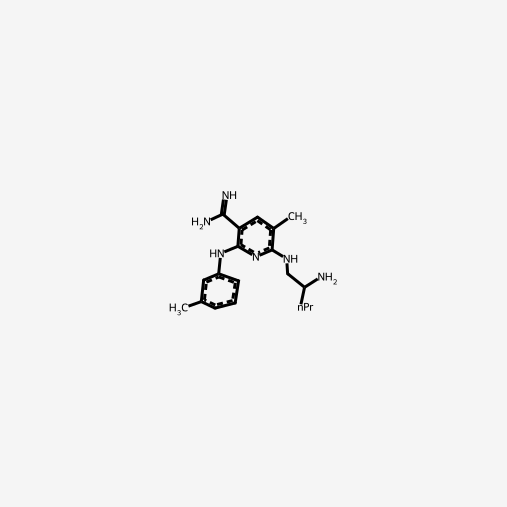 CCCC(N)CNc1nc(Nc2cccc(C)c2)c(C(=N)N)cc1C